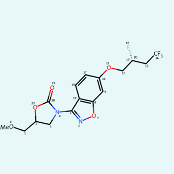 COCC1CN(c2noc3cc(OC[C@H](F)CC(F)(F)F)ccc23)C(=O)O1